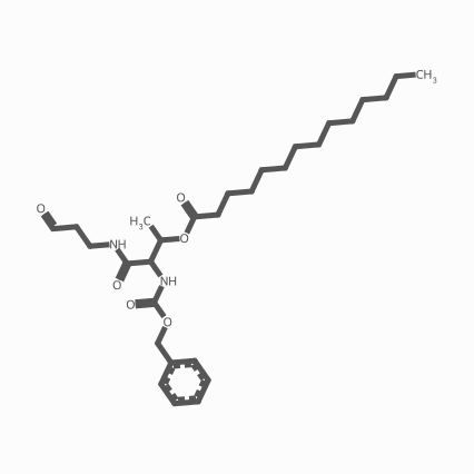 CCCCCCCCCCCCCC(=O)OC(C)C(NC(=O)OCc1ccccc1)C(=O)NCCC=O